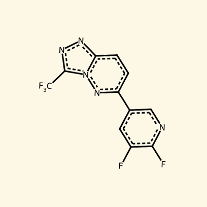 Fc1cc(-c2ccc3nnc(C(F)(F)F)n3n2)cnc1F